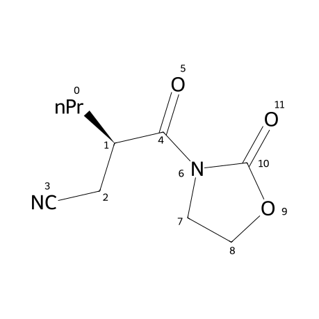 CCC[C@H](CC#N)C(=O)N1CCOC1=O